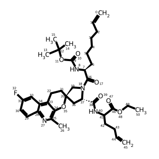 C=CCCCCC[C@H](NC(=O)OC(C)(C)C)C(=O)N1C[C@@]2(CCc3c(c(C)nc4ccc(F)cc34)O2)C[C@H]1C(=O)NC(CCC=C)C(=O)OCC